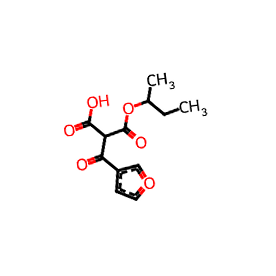 CCC(C)OC(=O)C(C(=O)O)C(=O)c1ccoc1